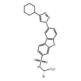 CC(C)[C@H](NS(=O)(=O)c1ccc2c(c1)oc1ccc(-n3cc(C4CCCCC4)nn3)cc12)C(=O)O